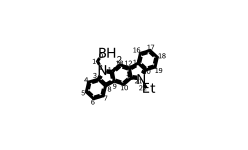 BCn1c2ccccc2c2cc3c(cc21)c1ccccc1n3CC